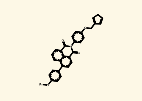 CC(C)Oc1ccc(-c2ccc3c4c(cccc24)C(=O)N(c2ccc(OCC4=CCC=C4)cc2)C3=O)cc1